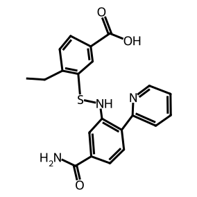 CCc1ccc(C(=O)O)cc1SNc1cc(C(N)=O)ccc1-c1ccccn1